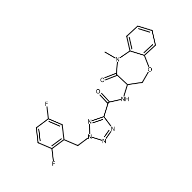 CN1C(=O)C(NC(=O)c2nnn(Cc3cc(F)ccc3F)n2)COc2ccccc21